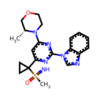 C[C@@H]1COCCN1c1cc(C2(S(C)(=N)=O)CC2)nc(-n2cnc3ccccc32)n1